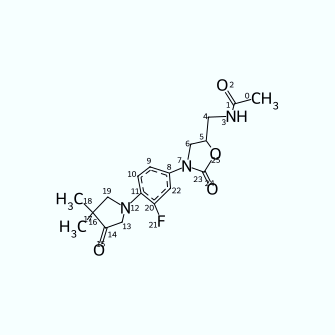 CC(=O)NCC1CN(c2ccc(N3CC(=O)C(C)(C)C3)c(F)c2)C(=O)O1